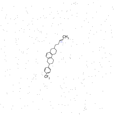 C/C=C/CCC1CCc2c(ccc3c2CCC(c2ccc(C(F)(F)F)cc2)C3)C1